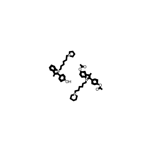 CC(=O)Oc1ccc(-c2c(C)c3cc(OC(C)=O)ccc3n2CCCCCCN2CCCCC2)cc1.Cc1c(-c2ccc(O)cc2)n(CCCCCCN2CCCC2)c2ccccc12